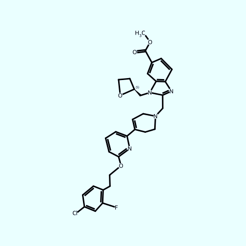 COC(=O)c1ccc2nc(CN3CC=C(c4cccc(OCCc5ccc(Cl)cc5F)n4)CC3)n(C[C@@H]3CCO3)c2c1